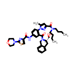 CCCCN(CCCC)C(=O)c1cc(C)n(-c2ccc(NC(=O)c3csc(N4CCOCC4)n3)cc2C(=O)N2Cc3ccccc3C[C@H]2CO)n1